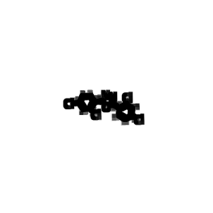 Clc1ccc(-c2nnc(-c3ccc(Cl)cc3Cl)o2)c(Cl)c1